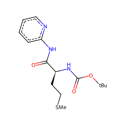 CSCC[C@H](NC(=O)OC(C)(C)C)C(=O)Nc1ccccn1